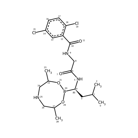 CC(C)C[C@H](NC(=O)CNC(=O)c1cc(Cl)ccc1Cl)B1OC(C)CNCC(C)O1